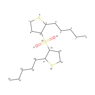 CCCCCC1SCCC1S(=O)(=O)C1CCSC1CCCCC